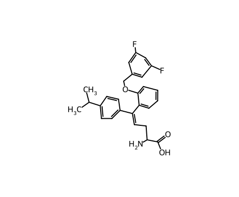 CC(C)c1ccc(C(=CCC(N)C(=O)O)c2ccccc2OCc2cc(F)cc(F)c2)cc1